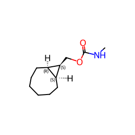 CNC(=O)OC[C@@H]1[C@@H]2CCCCCC[C@@H]21